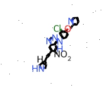 O=[N+]([O-])c1cc2c(Nc3ccc(OCc4ccccn4)c(Cl)c3)ncnc2cc1C#CC1C2CNC[C@@H]12